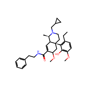 CCc1ccc(OC)c(O)c1[C@]12CCN(CC3CC3)[C@H](C)C1C=C(C(=O)NCCc1ccccc1)C(OC)C2